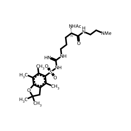 CNCCNC(=O)[C@H](CCCNC(=N)NS(=O)(=O)c1c(C)c(C)c2c(c1C)CC(C)(C)O2)NC(C)=O